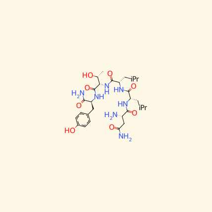 CC(C)C[C@H](NC(=O)[C@H](CC(C)C)NC(=O)[C@@H](N)CC(N)=O)C(=O)N[C@H](C(=O)N[C@@H](Cc1ccc(O)cc1)C(N)=O)[C@@H](C)O